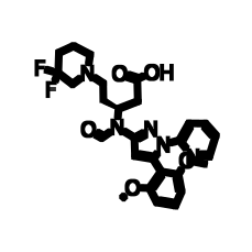 COc1cccc(OC)c1-c1cc(N(C=O)[C@@H](CCN2CCCC(F)(F)C2)CC(=O)O)nn1-c1ccccn1